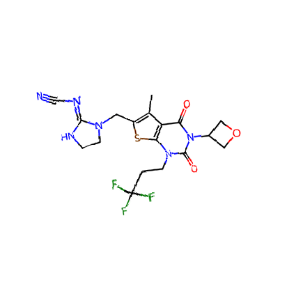 Cc1c(CN2CCN/C2=N\C#N)sc2c1c(=O)n(C1COC1)c(=O)n2CCC(F)(F)F